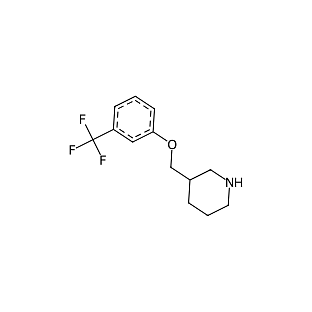 FC(F)(F)c1cccc(OCC2CCCNC2)c1